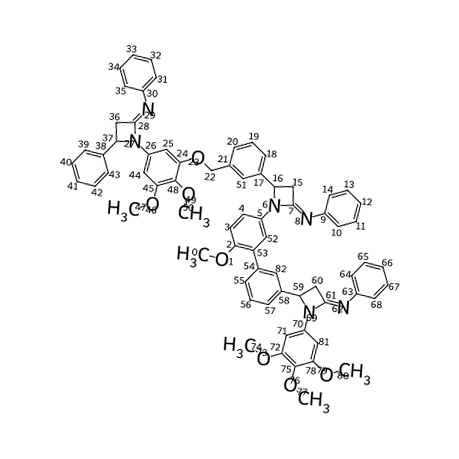 COc1ccc(N2/C(=N/c3ccccc3)CC2c2cccc(COc3cc(N4/C(=N/c5ccccc5)CC4c4ccccc4)cc(OC)c3OC)c2)cc1-c1cccc(C2C/C(=N\c3ccccc3)N2c2cc(OC)c(OC)c(OC)c2)c1